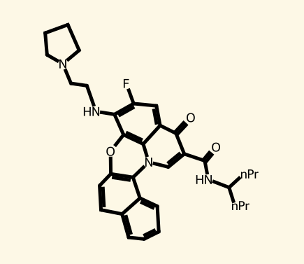 CCCC(CCC)NC(=O)c1cn2c3c(c(NCCN4CCCC4)c(F)cc3c1=O)Oc1ccc3ccccc3c1-2